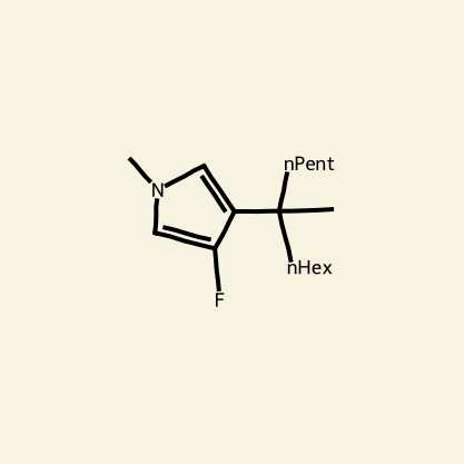 CCCCCCC(C)(CCCCC)c1cn(C)cc1F